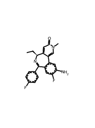 CC[C@@H]1N=C(c2ccc(F)cc2)c2cc(F)c(N)cc2C(=C/N(C)C)/C1=C\C=O